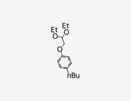 CCCCc1ccc(OCC(OCC)OCC)cc1